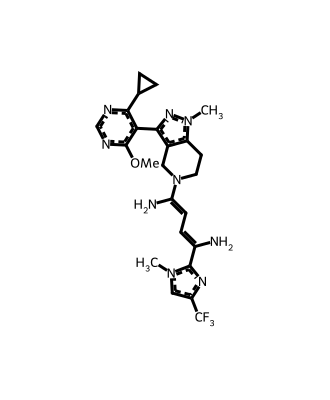 COc1ncnc(C2CC2)c1-c1nn(C)c2c1CN(/C(N)=C/C=C(\N)c1nc(C(F)(F)F)cn1C)CC2